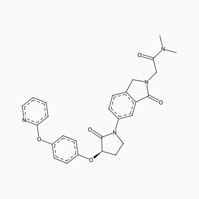 CN(C)C(=O)CN1Cc2ccc(N3CC[C@@H](Oc4ccc(Oc5ccccn5)cc4)C3=O)cc2C1=O